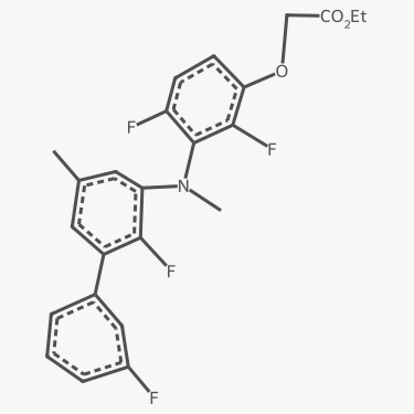 CCOC(=O)COc1ccc(F)c(N(C)c2cc(C)cc(-c3cccc(F)c3)c2F)c1F